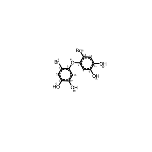 Oc1cc(Br)c(Oc2cc(O)c(O)cc2Br)cc1O